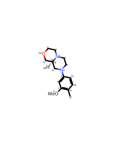 COc1cc(N2CCN3CCOC[C@@H]3C2)ccc1C